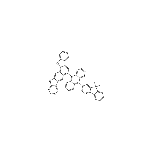 CC1(C)c2ccccc2-c2ccc(-c3c4ccccc4c(-c4cc5c6ccccc6oc5c5cc6oc7ccccc7c6cc45)c4ccccc34)cc21